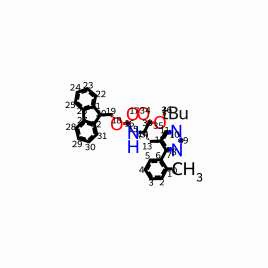 Cc1ccccc1-c1ncncc1C[C@H](NC(=O)OCC1c2ccccc2-c2ccccc21)C(=O)OC(C)(C)C